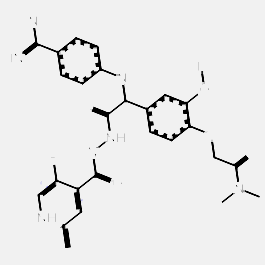 C=C/C=C(C(=O)NNC(=O)C(Nc1ccc(C(=N)N)cc1)c1ccc(OCC(=O)N(C)C)c(OCC)c1)\C(F)=C/N